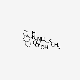 CSCCC(NC(=O)Nc1c2c(cc3c1CCC3)CCC2)C(=O)O